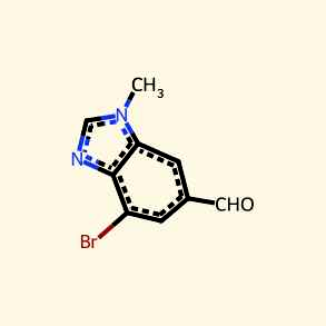 Cn1cnc2c(Br)cc(C=O)cc21